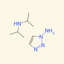 CC(C)NC(C)C.Nn1ccnn1